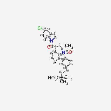 C[C@H]1C[C@H](C(=O)n2ccc3cc(Cl)ccc32)c2ccccc2N1C(=O)c1ccc(CCC(C)(C)C(=O)O)cc1